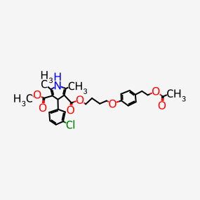 COC(=O)C1=C(C)NC(C)=C(C(=O)OCCCCOc2ccc(CCOC(C)=O)cc2)C1c1cccc(Cl)c1